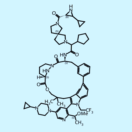 CO[C@@H](C)c1ncc(N2CCN(C3CC3)CC2)cc1-c1c2c3cc(ccc3n1CC(F)(F)F)-c1cccc(c1)C[C@H](NC(=O)C(C1CCCC1)N1CC[C@]3(CCN(C(=O)[C@@H]4NC4C4CC4)C3)C1)C(=O)N1CCC[C@H](N1)C(=O)OCC(C)(C)C2